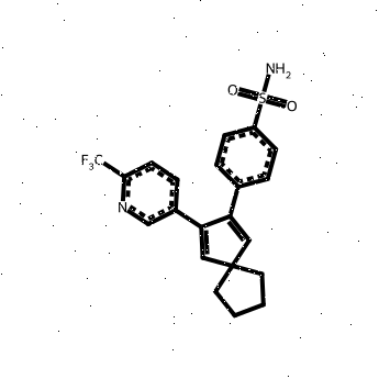 NS(=O)(=O)c1ccc(C2=CC3(C=C2c2ccc(C(F)(F)F)nc2)CCCC3)cc1